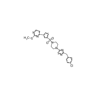 CSc1nccc(-c2csc(S(=O)(=O)N3CCN(c4nc(Cc5ccc(Cl)cc5)ns4)CC3)c2)n1